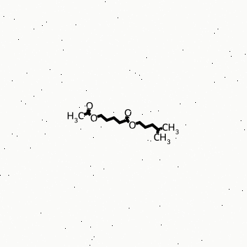 CC(=O)OCCCCC(=O)OCCCC(C)C